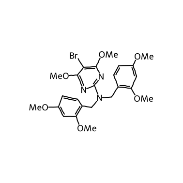 COc1ccc(CN(Cc2ccc(OC)cc2OC)c2nc(OC)c(Br)c(OC)n2)c(OC)c1